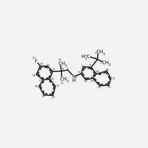 CC(C)(C)c1cc(NCC(C)(C)c2cc(F)cc3ccccc23)cc2ccccc12